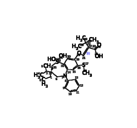 CCC1(C(C)C)CN(c2ccccc2)c2cc(SC)c(O/C=C(/C(=O)O)C(C)(C)C)cc2S(O)(O)C1